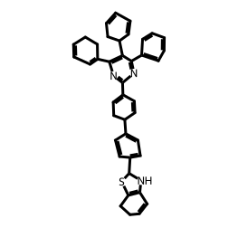 C1=CCCC(c2nc(C3=CCC(c4ccc(C5NC6=C(CCC=C6)S5)cc4)C=C3)nc(-c3ccccc3)c2C2C=CC=CC2)=C1